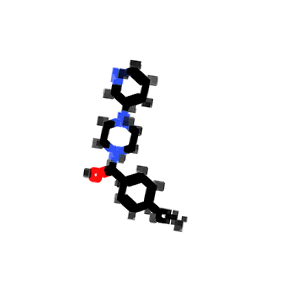 [CH2]c1ccc(C(=O)N2CCN(c3cccnc3)CC2)cc1